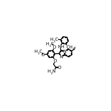 COc1cc(OC)c(-c2nc3ccc(F)cn3c2Nc2c(C)cccc2C)c(OCC(N)=O)c1